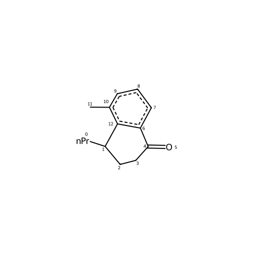 CCCC1CCC(=O)c2cccc(C)c21